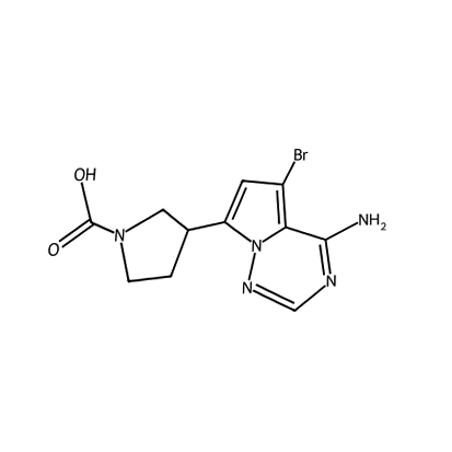 Nc1ncnn2c(C3CCN(C(=O)O)C3)cc(Br)c12